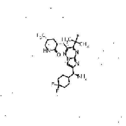 CC(C)(F)c1nc2nc([C@@H](N)C3CCC(F)(F)CC3)cn2nc1C[C@H]1C[C@@H](C(F)(F)F)CNC1=O